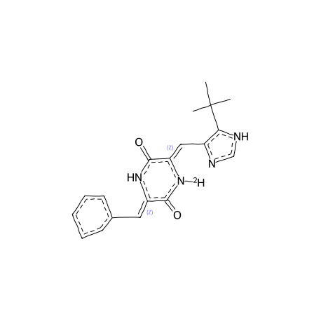 [2H]n1c(=O)/c(=C/c2ccccc2)[nH]c(=O)/c1=C/c1nc[nH]c1C(C)(C)C